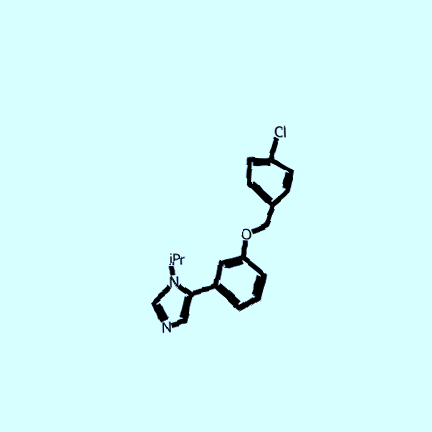 CC(C)n1cncc1-c1cccc(OCc2ccc(Cl)cc2)c1